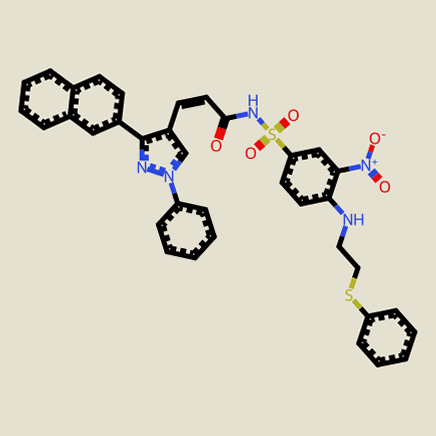 O=C(/C=C\c1cn(-c2ccccc2)nc1-c1ccc2ccccc2c1)NS(=O)(=O)c1ccc(NCCSc2ccccc2)c([N+](=O)[O-])c1